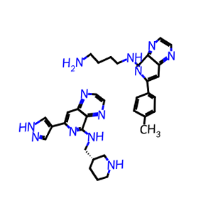 Cc1ccc(-c2cc3nccnc3c(NCCCCN)n2)cc1.c1cnc2c(NC[C@H]3CCCNC3)nc(-c3cn[nH]c3)cc2n1